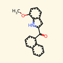 COc1cccc2cc(C(=O)c3cccc4ccccc34)[nH]c12